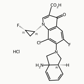 Cl.NC12C=CC=C[C@@H]1CN(c1c(F)cc3c(=O)c(C(=O)O)cn([C@@H]4C[C@@H]4F)c3c1Cl)C2